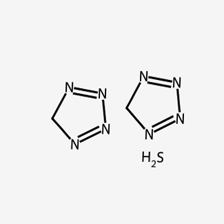 C1N=NN=N1.C1N=NN=N1.S